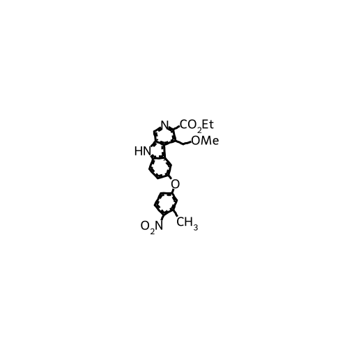 CCOC(=O)c1ncc2[nH]c3ccc(Oc4ccc([N+](=O)[O-])c(C)c4)cc3c2c1COC